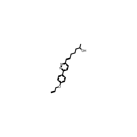 C=CCOc1ccc(-c2ccc(/C=C/CCCC(C)O)nn2)cc1